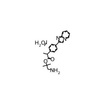 CC(C(=O)OC(C)(C)CN)c1ccc(-c2cn3ccccc3n2)cc1.CI.O